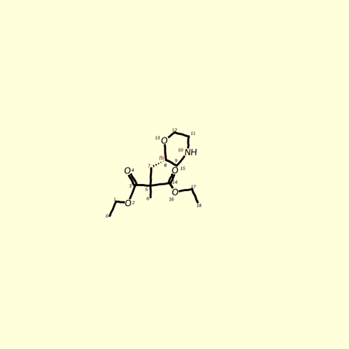 CCOC(=O)C(C)(C[C@H]1CNCCO1)C(=O)OCC